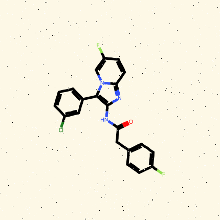 O=C(Cc1ccc(F)cc1)Nc1nc2ccc(F)cn2c1-c1cccc(Cl)c1